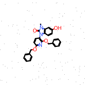 Cn1c(=O)n(-c2ccc(OCc3ccccc3)nc2OCc2ccccc2)c2ccc(O)cc21